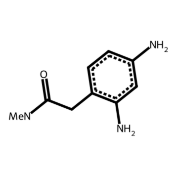 CNC(=O)Cc1ccc(N)cc1N